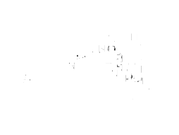 C=CC(=O)O.C=CC(=O)O.C=CC(=O)O.CCOC(=O)NN.O=C=NCCCCCCN=C=O.OCC(CO)(CO)CO